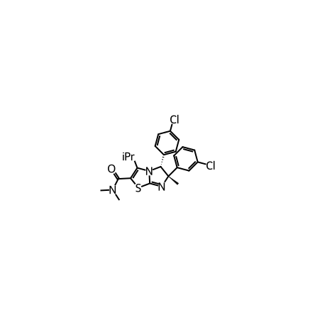 CC(C)C1=C(C(=O)N(C)C)SC2=N[C@@](C)(c3cccc(Cl)c3)[C@@H](c3ccc(Cl)cc3)N21